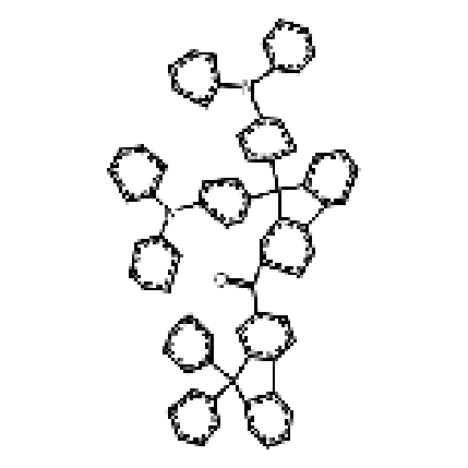 O=C(c1ccc2c(c1)C(c1ccccc1)(c1ccccc1)c1ccccc1-2)c1ccc2c(c1)C(c1ccc(N(c3ccccc3)c3ccccc3)cc1)(c1ccc(N(c3ccccc3)c3ccccc3)cc1)c1ccccc1-2